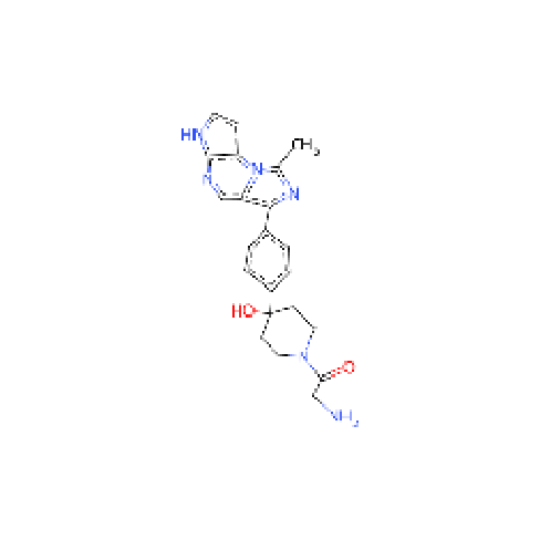 Cc1nc(-c2ccc(C3(O)CCN(C(=O)CN)CC3)cc2)c2cnc3[nH]ccc3n12